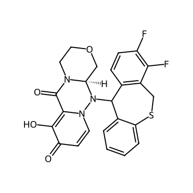 O=C1c2c(O)c(=O)ccn2N(C2c3ccccc3SCc3c2ccc(F)c3F)[C@@H]2COCCN12